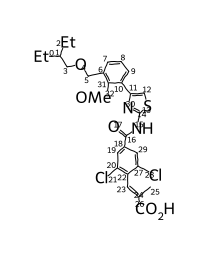 CCC(CC)COCc1cccc(-c2csc(NC(=O)c3cc(Cl)c(C=C(C)C(=O)O)c(Cl)c3)n2)c1OC